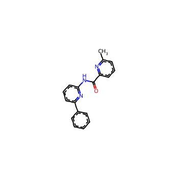 Cc1cccc(C(=O)Nc2cccc(-c3ccccc3)n2)n1